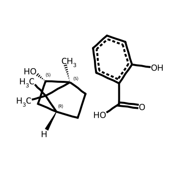 CC1(C)[C@@H]2CC[C@]1(C)[C@@H](O)C2.O=C(O)c1ccccc1O